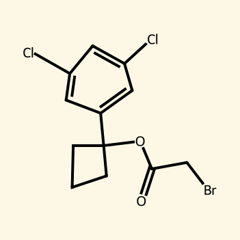 O=C(CBr)OC1(c2cc(Cl)cc(Cl)c2)CCC1